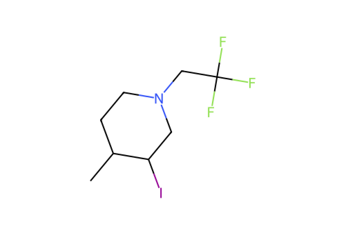 CC1CCN(CC(F)(F)F)CC1I